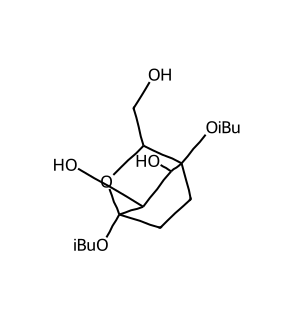 CC(C)COC12CCC(OCC(C)C)(C(CO)O1)C(O)C2O